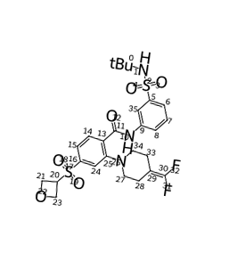 CC(C)(C)NS(=O)(=O)c1cccc(NC(=O)c2ccc(S(=O)(=O)C3COC3)cc2N2CCC(=C(F)F)CC2)c1